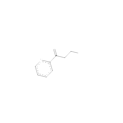 O=C(O)CCC(=O)c1ccccn1